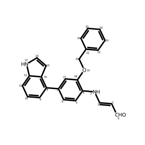 O=CC=CNc1ccc(-c2cccc3[nH]ccc23)cc1OCc1ccccc1